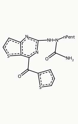 CCCCCN(Nc1nc(C(=O)c2cccs2)c2sccc2n1)C(N)=O